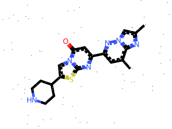 Cc1cn2nc(-c3cc(=O)n4cc(C5CCNCC5)sc4n3)cc(C)c2n1